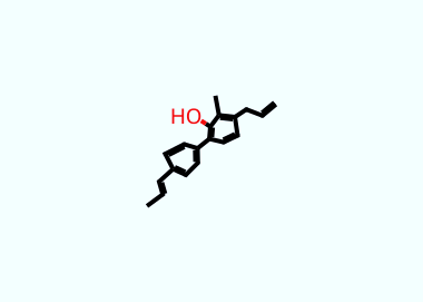 C=CCc1ccc(-c2ccc(/C=C/C)cc2)c(O)c1C